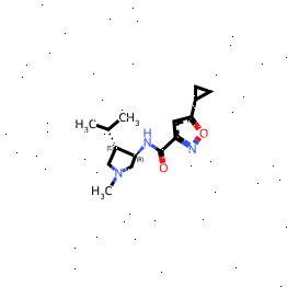 CC(C)[C@H]1CN(C)C[C@@H]1NC(=O)c1cc(C2CC2)on1